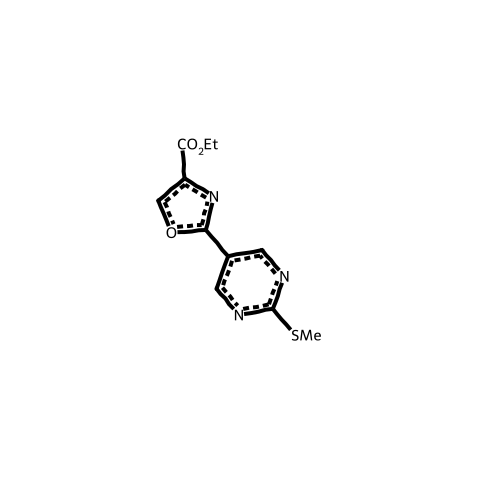 CCOC(=O)c1coc(-c2cnc(SC)nc2)n1